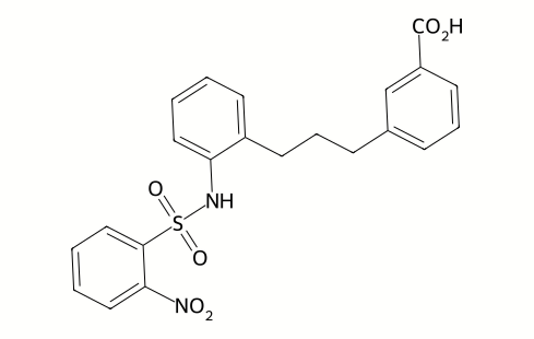 O=C(O)c1cccc(CCCc2ccccc2NS(=O)(=O)c2ccccc2[N+](=O)[O-])c1